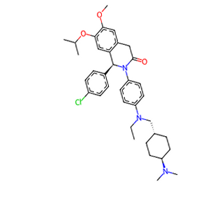 CCN(C[C@H]1CC[C@H](N(C)C)CC1)c1ccc(N2C(=O)Cc3cc(OC)c(OC(C)C)cc3[C@@H]2c2ccc(Cl)cc2)cc1